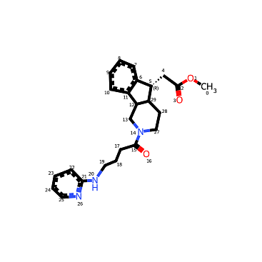 COC(=O)C[C@H]1c2ccccc2C2CN(C(=O)CCCNc3ccccn3)CCC21